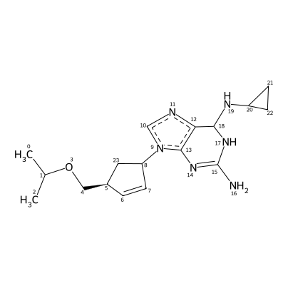 CC(C)OC[C@@H]1C=CC(n2cnc3c2N=C(N)NC3NC2CC2)C1